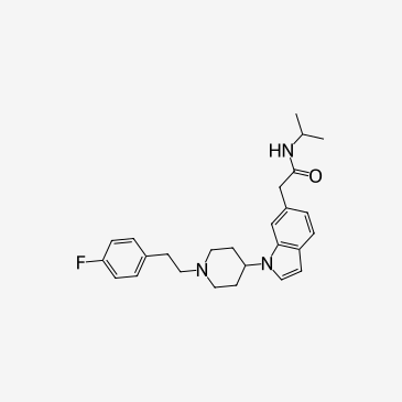 CC(C)NC(=O)Cc1ccc2ccn(C3CCN(CCc4ccc(F)cc4)CC3)c2c1